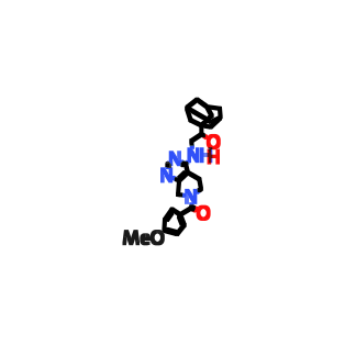 COc1ccc(C(=O)N2CCc3c(ncnc3NCC(O)C34CC5CC(CC(C5)C3)C4)C2)cc1